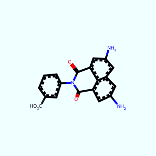 Nc1cc2c3c(cc(N)cc3c1)C(=O)N(c1cccc(C(=O)O)c1)C2=O